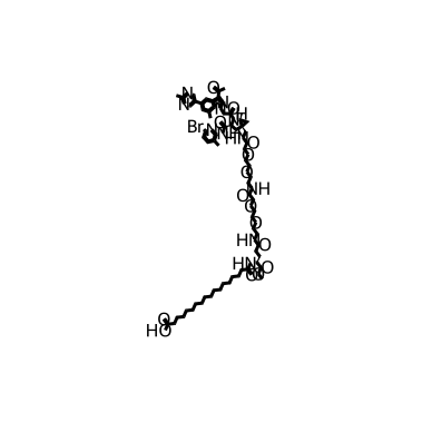 COC(=O)[C@H](CCC(=O)NCCOCCOCC(=O)NCCOCCOCC(=O)NC[C@@]12C[C@@H](C(=O)Nc3nc(Br)ccc3C)N(C(=O)Cn3nc(C(C)=O)c4cc(-c5cnc(C)nc5)cc(C)c43)[C@@H]1C2)NC(=O)CCCCCCCCCCCCCCCCC(=O)O